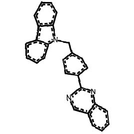 c1ccc2nc(-c3ccc(Cn4c5ccccc5c5ccccc54)cc3)ncc2c1